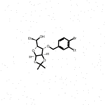 CCc1cc(CO[C@@H]2[C@H]3OC(C)(C)O[C@H]3O[C@@H]2[C@H](O)CC)ccc1Br